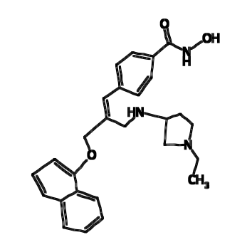 CCN1CCC(NC/C(=C\c2ccc(C(=O)NO)cc2)COc2cccc3ccccc23)C1